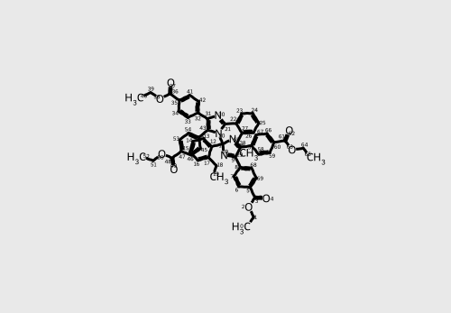 CCOC(=O)c1ccc(C2=NC(c3ccccc3CC)(n3c(-c4ccccc4CC)nc(-c4ccc(C(=O)OCC)cc4)c3-c3ccc(C(=O)OCC)cc3)N=C2c2ccc(C(=O)OCC)cc2)cc1